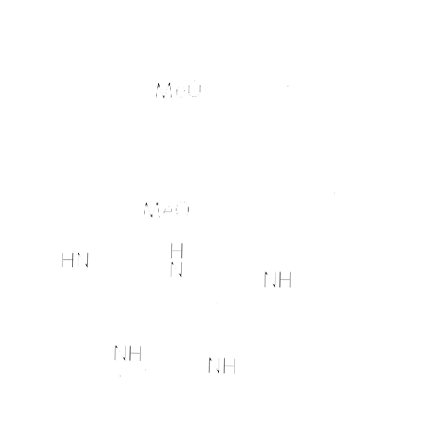 COc1cccc(NC(=N)NC(=N)N)c1OC